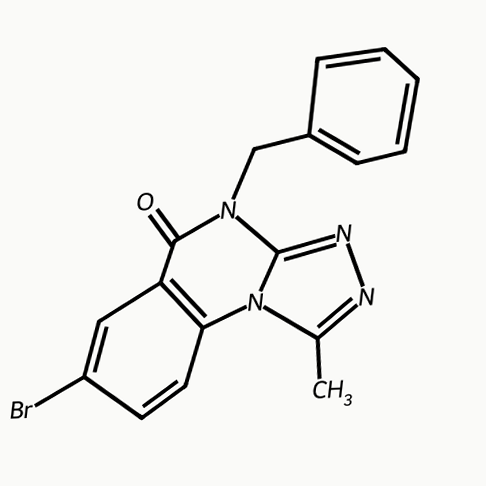 Cc1nnc2n(Cc3ccccc3)c(=O)c3cc(Br)ccc3n12